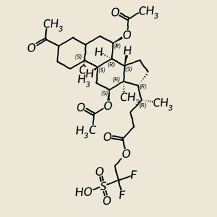 CC(=O)O[C@H]1C[C@H]2[C@@H]([C@H](OC(C)=O)CC3CC(C(C)=O)CC[C@@]32C)[C@@H]2CC[C@H]([C@H](C)CCC(=O)OCC(F)(F)S(=O)(=O)O)[C@@]12C